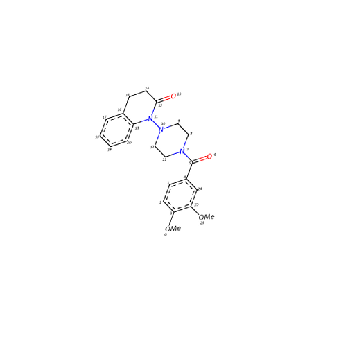 COc1ccc(C(=O)N2CCN(N3C(=O)CCc4ccccc43)CC2)cc1OC